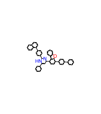 C1=C(c2ccccc2)NC(c2ccc(-c3cccc4ccccc34)cc2)N=C1c1ccc(-c2ccc(-c3ccccc3)cc2)c2oc3ccccc3c12